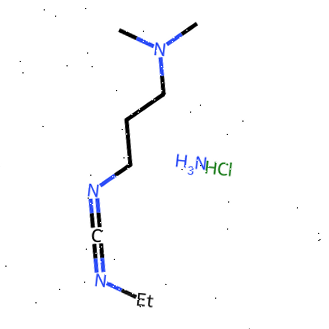 CCN=C=NCCCN(C)C.Cl.N